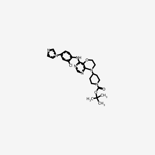 CC(C)(C)OC(=O)N1CCC(N2CCOc3c(Nc4ccc(-n5ccnc5)cc4Cl)ncnc32)CC1